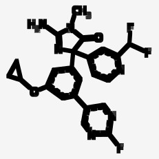 CN1C(=O)C(c2cc(OC3CC3)cc(-c3cnc(F)nc3)c2)(c2ccnc(C(F)F)c2)N=C1N